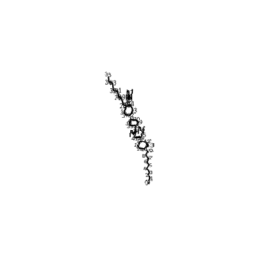 CCCCCCCCCC[C@H]1CC[C@H](c2cnc(-c3ccc([C@H]4CC[C@@](C#N)(CCCCCCCC)CC4)cc3)nc2)CC1